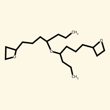 CCCC(CCCC1CCO1)OC(CCC)CCCC1CCO1